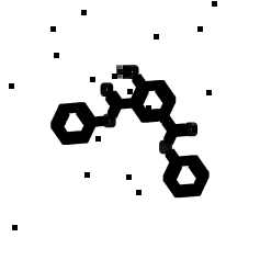 O=C(Oc1ccccc1)c1ccc(O)c(C(=O)Oc2ccccc2)c1